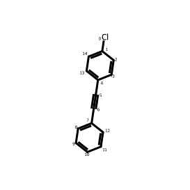 Clc1c[c]c(C#Cc2ccccc2)cc1